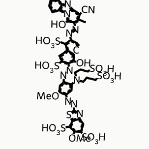 COc1cc(N=Nc2c(S(=O)(=O)O)cc3c(S(=O)(=O)O)c(N=Nc4c(C)c(C#N)c5nc6ccccc6n5c4O)ccc3c2O)c(N(CCCS(=O)(=O)O)CCCS(=O)(=O)O)cc1N=Nc1nc2cc(S(=O)(=O)O)c(OC)c(S(=O)(=O)O)c2s1